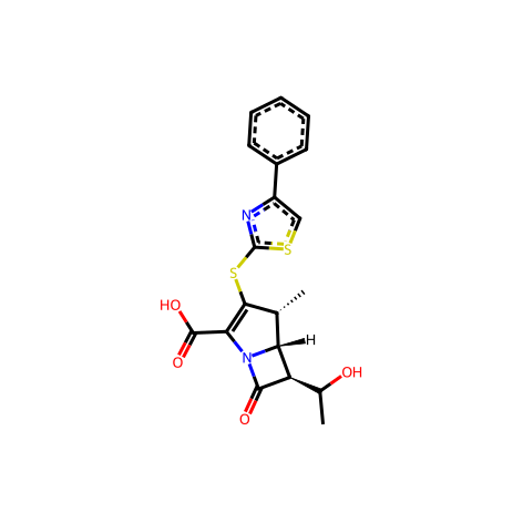 CC(O)[C@H]1C(=O)N2C(C(=O)O)=C(Sc3nc(-c4ccccc4)cs3)[C@H](C)[C@H]12